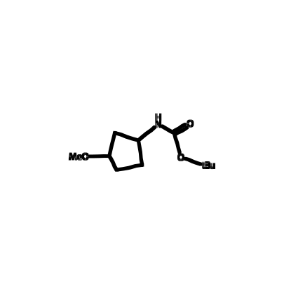 COC1CCC(NC(=O)OC(C)(C)C)C1